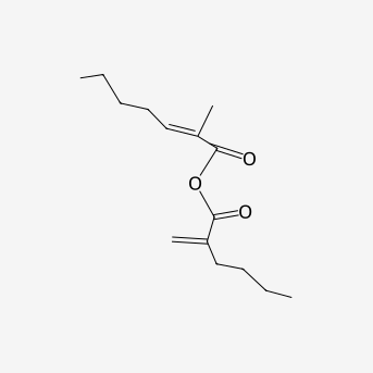 C=C(CCCC)C(=O)OC(=O)C(C)=CCCCC